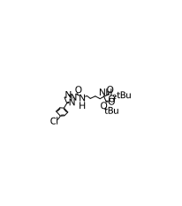 CC(C)(C)OC(=O)C(N)(CCCCNC(=O)n1ncc(-c2ccc(Cl)cc2)n1)C(=O)OC(C)(C)C